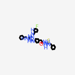 O=C(Cc1ccc(Nc2nc(NCc3ccc(F)cc3)nc(NCC3CCCCC3)n2)cc1)NNC(=S)NCc1ccccc1